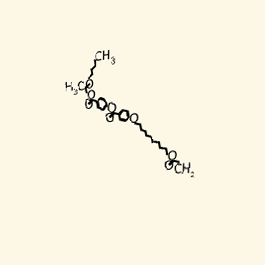 C=CC(=O)OCCCCCCCCCCCOc1ccc(C(=O)Oc2ccc(C(=O)OCC(C)OCCCCCC)cc2)cc1